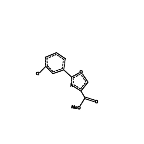 COC(=O)c1coc(-c2cccc(Cl)c2)n1